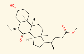 C/C=C1/C(=O)C2[C@H](CCC3(C)C([C@H](C)CCC(=O)OC)CC[C@@H]23)C2(C)CC[C@@H](O)CC12